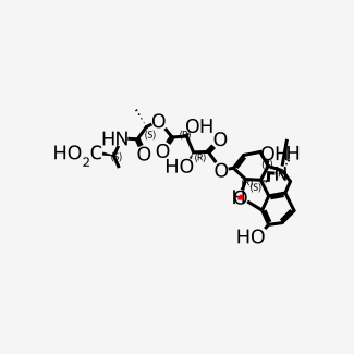 C[C@H](NC(=O)[C@H](C)OC(=O)[C@H](O)[C@@H](O)C(=O)OC1=CC[C@@]2(O)[C@H]3Cc4ccc(O)c5c4[C@@]2(CCN3C)[C@H]1O5)C(=O)O